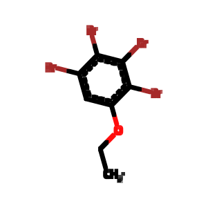 [CH2]COc1cc(Br)c(Br)c(Br)c1Br